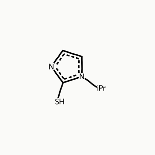 CC(C)n1ccnc1S